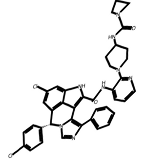 O=C(Nc1cccnc1N1CCC(NC(=O)N2CCC2)CC1)c1[nH]c2cc(Cl)cc3c2c1-c1c(-c2ccccc2)ncn1[C@@H]3c1ccc(Cl)cc1